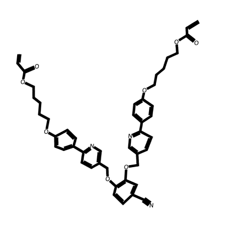 C=CC(=O)OCCCCCOc1ccc(-c2ccc(COc3ccc(C#N)cc3OCc3ccc(-c4ccc(OCCCCCOC(=O)C=C)cc4)nc3)cn2)cc1